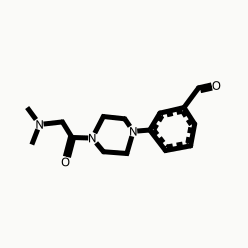 CN(C)CC(=O)N1CCN(c2cccc(C=O)c2)CC1